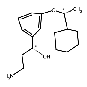 C[C@@H](Oc1cccc([C@H](O)CCN)c1)C1CCCCC1